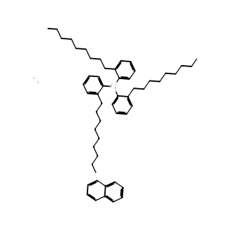 CCCCCCCCCc1ccccc1N(c1ccccc1CCCCCCCCC)c1ccccc1CCCCCCCCC.N.c1ccc2ccccc2c1